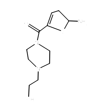 NC1CC=C(C(=O)N2CCN(CCO)CC2)S1